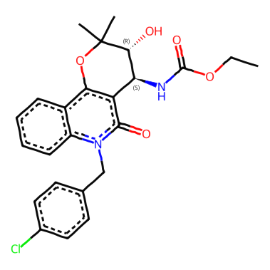 CCOC(=O)N[C@H]1c2c(c3ccccc3n(Cc3ccc(Cl)cc3)c2=O)OC(C)(C)[C@@H]1O